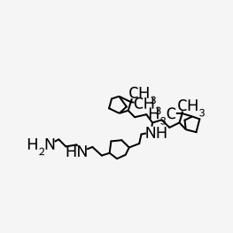 CC1(C)C2CCC(C2)C1CCC(CCC1C2CCC(C2)C1(C)C)NCCC1CCC(CCNCCCN)CC1